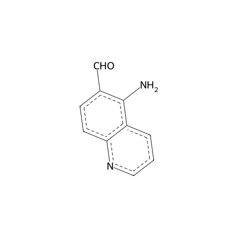 Nc1c(C=O)ccc2ncccc12